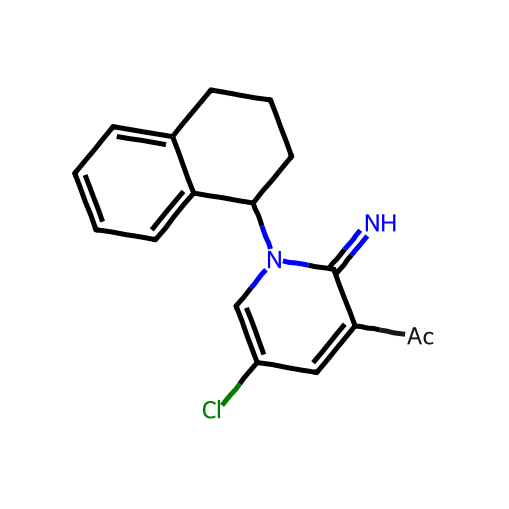 CC(=O)c1cc(Cl)cn(C2CCCc3ccccc32)c1=N